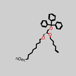 C=CCCCCO[C@H](COCCCCCCCCCCCCCCCCCC)COC(c1ccccc1)(c1ccccc1)c1ccccc1